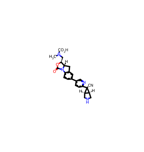 CN(C[C@@H]1OC(=O)N2c3ccc(-c4ccc(C5(C#N)[C@@H]6CNC[C@@H]65)nc4)cc3C[C@@H]12)C(=O)O